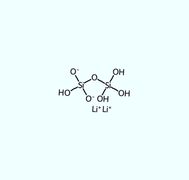 [Li+].[Li+].[O-][Si]([O-])(O)O[Si](O)(O)O